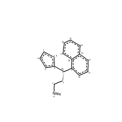 CNCC[C@H](c1cccs1)c1cccc2ccccc12